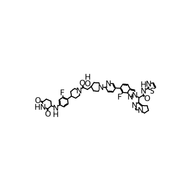 O=C1CCC(Nc2ccc(C3CCN(C(=O)CC4(O)CCN(c5ccc(-c6ccc7cn(C(C(=O)Nc8nccs8)c8ncn9c8CCC9)nc7c6F)cn5)CC4)CC3)c(F)c2)C(=O)N1